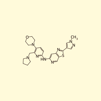 Cn1cc(-c2nc3cc(Nc4ccc(N5CCOCC5)c(CN5CCCC5)n4)ncc3s2)cn1